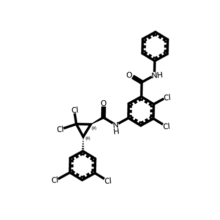 O=C(Nc1ccccc1)c1cc(NC(=O)[C@H]2[C@H](c3cc(Cl)cc(Cl)c3)C2(Cl)Cl)cc(Cl)c1Cl